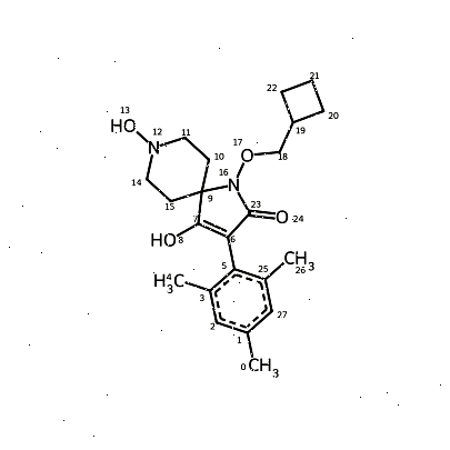 Cc1cc(C)c(C2=C(O)C3(CCN(O)CC3)N(OCC3CCC3)C2=O)c(C)c1